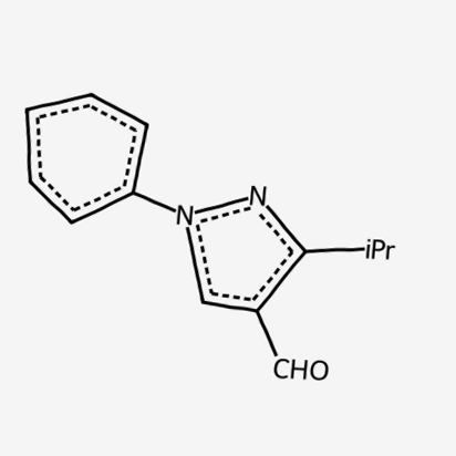 CC(C)c1nn(-c2ccccc2)cc1C=O